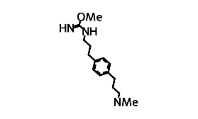 CNCCCc1ccc(CCCNC(=N)OC)cc1